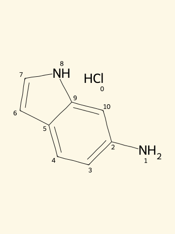 Cl.Nc1ccc2cc[nH]c2c1